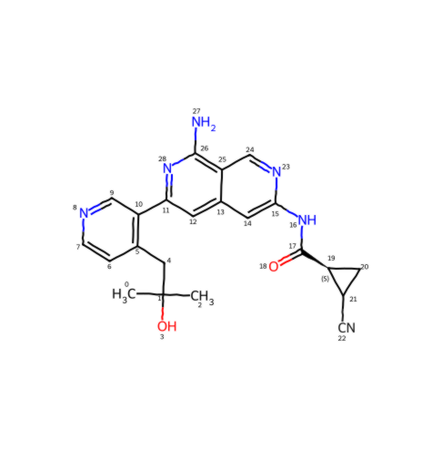 CC(C)(O)Cc1ccncc1-c1cc2cc(NC(=O)[C@H]3CC3C#N)ncc2c(N)n1